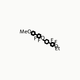 CCOc1ccc(C2CCC(COc3ccc(-c4ccc(OC)cc4)c(F)c3F)CC2)c(F)c1F